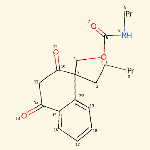 CC(C)CCC1(COC(=O)NC(C)C)C(=O)CC(=O)c2ccccc21